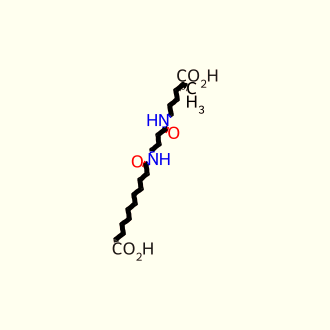 C[C@@H](CCCCNC(=O)CCCNC(=O)CCCCCCCCCCC(=O)O)C(=O)O